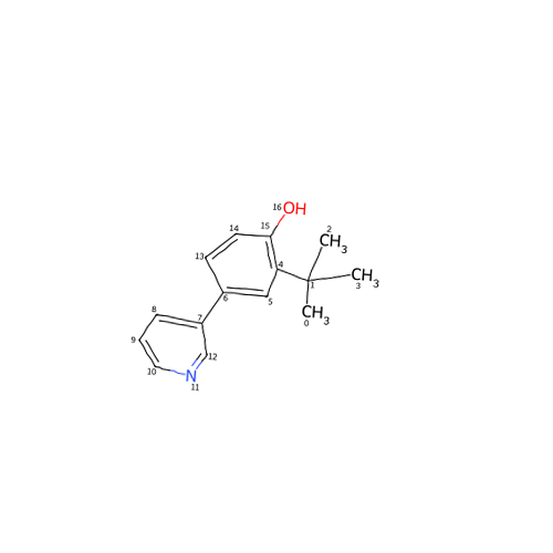 CC(C)(C)c1cc(-c2cccnc2)ccc1O